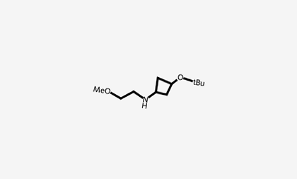 COCCNC1CC(OC(C)(C)C)C1